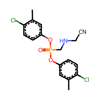 Cc1cc(OP(=O)(CNCC#N)Oc2ccc(Cl)c(C)c2)ccc1Cl